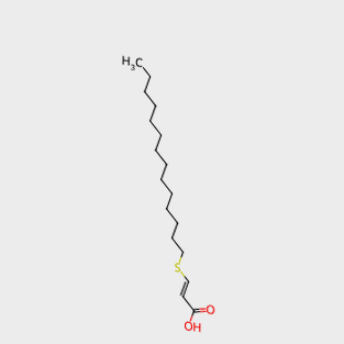 CCCCCCCCCCCCCCSC=CC(=O)O